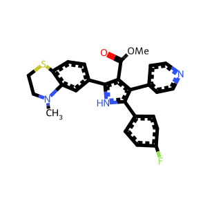 COC(=O)c1c(-c2ccc3c(c2)N(C)CCS3)[nH]c(-c2ccc(F)cc2)c1-c1ccncc1